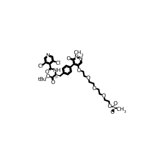 Cn1ncc(OCCOCCOCCOCCOS(C)(=O)=O)c(-c2ccc(C[C@H](NC(=O)c3c(Cl)cncc3Cl)C(=O)OC(C)(C)C)cc2)c1=O